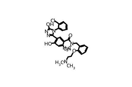 CN(C)CCOc1ccccc1CN(C)C(=O)c1cc(-c2nnc(O)n2-c2ccccc2Cl)c(O)cc1O